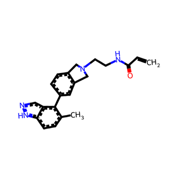 C=CC(=O)NCCN1Cc2ccc(-c3c(C)ccc4[nH]ncc34)cc2C1